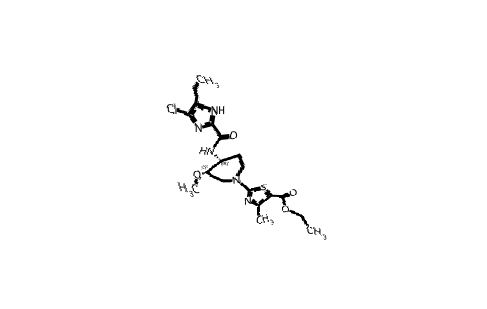 CCOC(=O)c1sc(N2CC[C@@H](NC(=O)c3nc(Cl)c(CC)[nH]3)[C@@H](OC)C2)nc1C